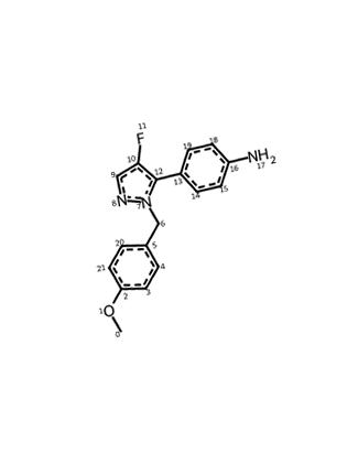 COc1ccc(Cn2ncc(F)c2-c2ccc(N)cc2)cc1